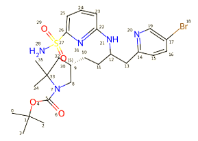 CC(C)(C)OC(=O)N1C[C@@H](CCC(Cc2ccc(Br)cn2)Nc2cccc(S(N)(=O)=O)n2)CC1(C)C